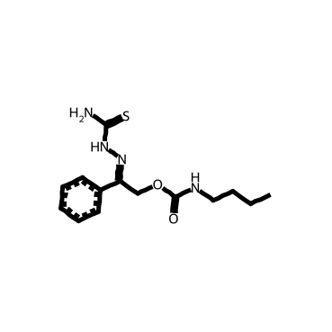 CCCCNC(=O)OC/C(=N/NC(N)=S)c1ccccc1